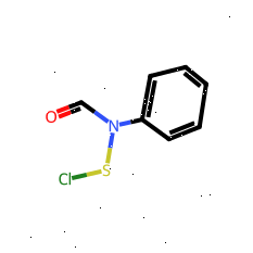 O=CN(SCl)c1ccccc1